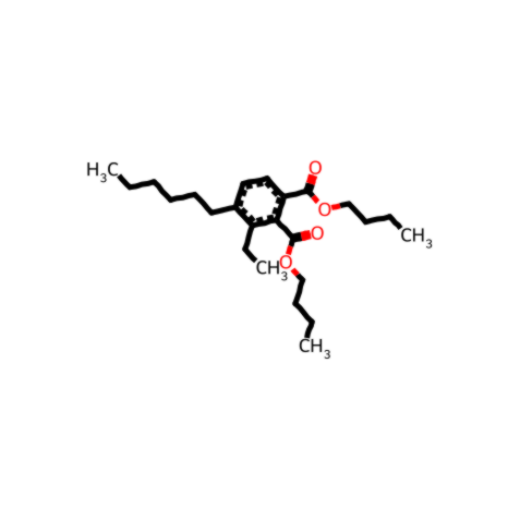 CCCCCCc1ccc(C(=O)OCCCC)c(C(=O)OCCCC)c1CC